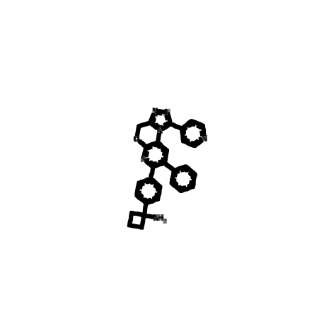 NC1(c2ccc(-c3nc4c(cc3-c3ccccc3)-n3c(nnc3-c3ccncc3)CO4)cc2)CCC1